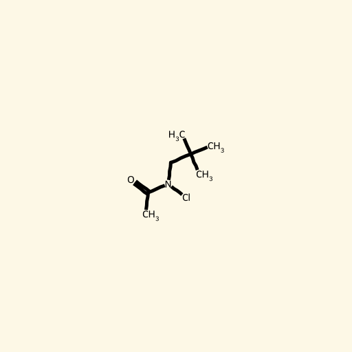 CC(=O)N(Cl)CC(C)(C)C